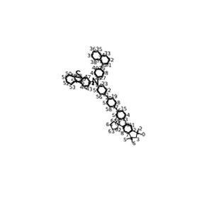 CC1(C)CC(C)(C)c2cc3c(cc21)-c1ccc(-c2ccc(-c4ccc(N(c5ccc(-c6cccc7ccccc67)cc5)c5ccc6c(c5)sc5ccccc56)cc4)cc2)cc1C31CCCC1